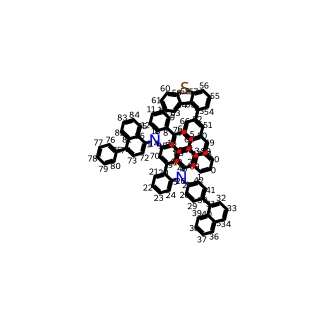 c1ccc(-c2ccc(-c3ccccc3N(c3cccc(-c4ccccc4N(c4ccc(-c5cccc6ccccc56)cc4)c4ccc5c(ccc6cc(-c7cccc8sc9ccccc9c78)ccc65)c4)c3)c3ccc(-c4ccccc4)c4ccccc34)cc2)cc1